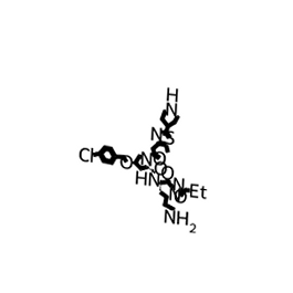 CCc1nc(C(=O)[C@H](CCCCN)NC(=O)[C@@H]2C[C@@H](OCc3ccc(Cl)cc3)CN2C(=O)Cc2nc(C3CCNCC3)sc2C)no1